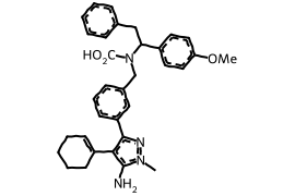 COc1ccc(C(Cc2ccccc2)N(Cc2cccc(-c3nn(C)c(N)c3C3=CCCCC3)c2)C(=O)O)cc1